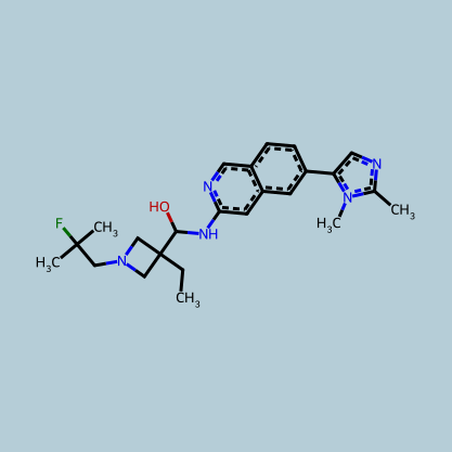 CCC1(C(O)Nc2cc3cc(-c4cnc(C)n4C)ccc3cn2)CN(CC(C)(C)F)C1